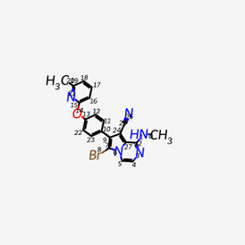 CNc1nccn2c(Br)c(-c3ccc(Oc4cccc(C)n4)cc3)c(C#N)c12